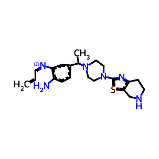 C=C/C=N\c1cc(C(C)N2CCN(c3nc4c(s3)CNCC4)CC2)ccc1N